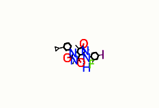 Cc1c(=O)n(C)c(Nc2ccc(I)cc2F)c2c(=O)n(C)c(=O)n(-c3cccc(C4CC4)c3)c12